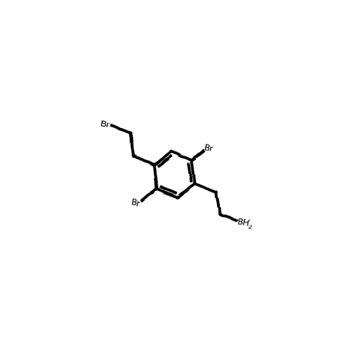 BCCc1cc(Br)c(CCBr)cc1Br